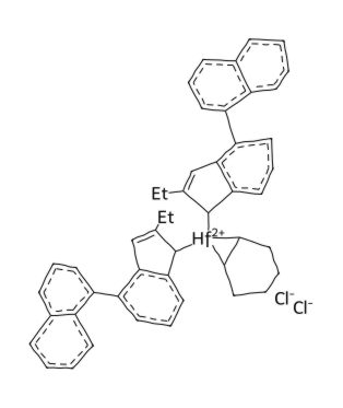 CCC1=Cc2c(-c3cccc4ccccc34)cccc2[CH]1[Hf+2]1([CH]2C(CC)=Cc3c(-c4cccc5ccccc45)cccc32)[CH]2CCCC[CH]21.[Cl-].[Cl-]